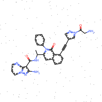 CC(NC(=O)c1c(N)nn2cccnc12)c1cc2cccc(C#Cc3cnn(C(=O)CN)c3)c2c(=O)n1-c1ccccc1